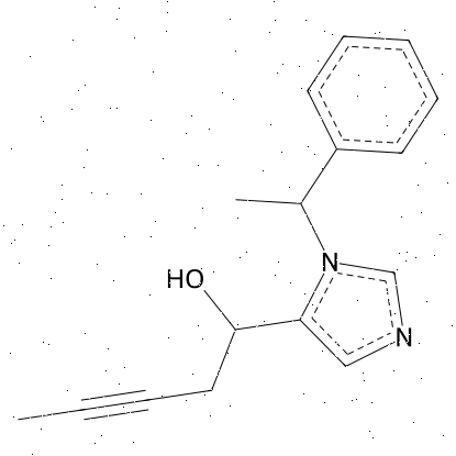 CC#CCC(O)c1cncn1C(C)c1ccccc1